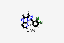 COc1ccc2nc(C)c3c(C)nc(-c4cccc(Cl)c4Cl)n3c2n1